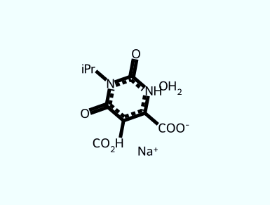 CC(C)n1c(=O)[nH]c(C(=O)[O-])c(C(=O)O)c1=O.O.[Na+]